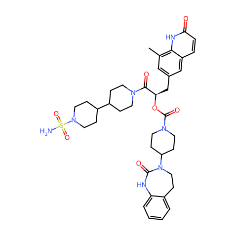 Cc1cc(C[C@@H](OC(=O)N2CCC(N3CCc4ccccc4NC3=O)CC2)C(=O)N2CCC(C3CCN(S(N)(=O)=O)CC3)CC2)cc2ccc(=O)[nH]c12